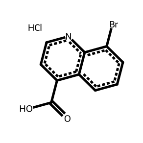 Cl.O=C(O)c1ccnc2c(Br)cccc12